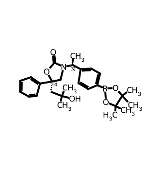 C[C@@H](c1ccc(B2OC(C)(C)C(C)(C)O2)cc1)N1C[C@@](CC(C)(C)O)(c2ccccc2)OC1=O